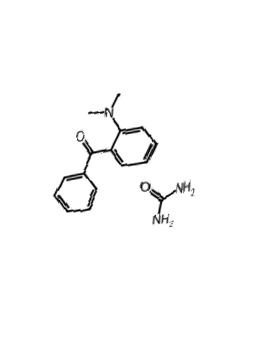 CN(C)c1ccccc1C(=O)c1ccccc1.NC(N)=O